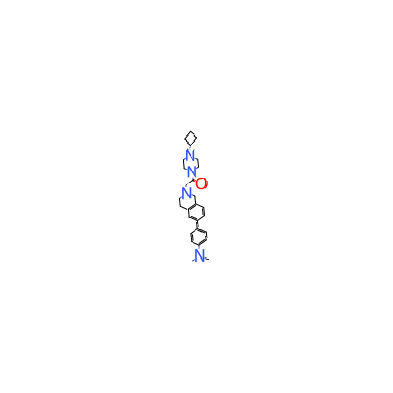 CN(C)c1ccc(-c2ccc3c(c2)CCN(CC(=O)N2CCN(C4CCC4)CC2)C3)cc1